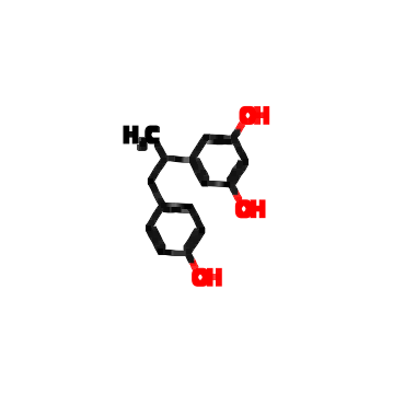 CC(Cc1ccc(O)cc1)c1cc(O)cc(O)c1